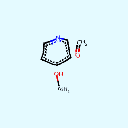 C=O.O[AsH2].c1ccncc1